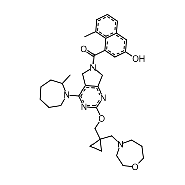 Cc1cccc2cc(O)cc(C(=O)N3Cc4nc(OCC5(CN6CCCOCC6)CC5)nc(N5CCCCCC5C)c4C3)c12